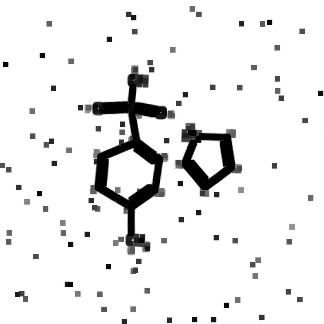 Cc1ccc(S(=O)(=O)O)cc1.c1cc[nH]c1